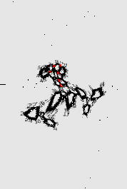 c1ccc(B(c2ccccc2)c2ccc3c(c2)c2ccc4c5cc(B(c6ccccc6)c6ccccc6)ccc5n(-c5ccc6c(c5)c5ccccc5n6-c5ccccc5)c4c2n3-c2ccc3c(c2)c2ccccc2n3-c2ccccc2)cc1